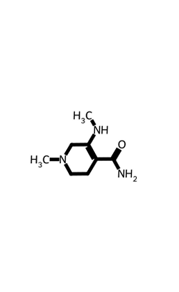 CNC1=C(C(N)=O)CCN(C)C1